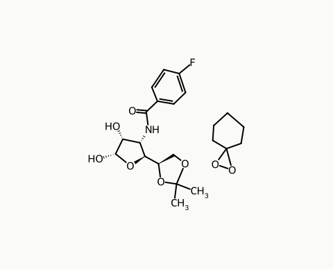 C1CCC2(CC1)OO2.CC1(C)OC[C@H]([C@H]2O[C@H](O)[C@H](O)[C@@H]2NC(=O)c2ccc(F)cc2)O1